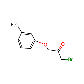 O=C(CBr)COc1cccc(C(F)(F)F)c1